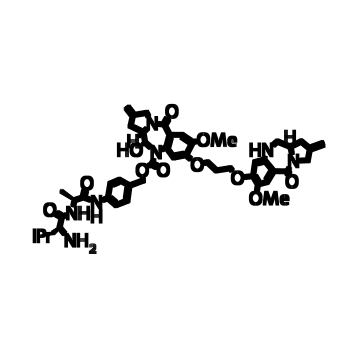 C=C1C[C@H]2CNc3cc(OCCCOc4cc5c(cc4OC)C(=O)N4CC(=C)C[C@H]4[C@H](O)N5C(=O)OCc4ccc(NC(=O)[C@H](C)NC(=O)[C@@H](N)C(C)C)cc4)c(OC)cc3C(=O)N2C1